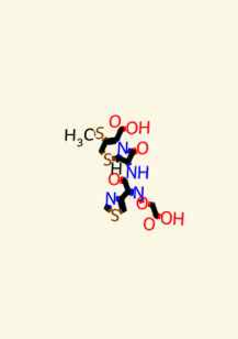 CSC1=C(C(=O)O)N2C(=O)C(NC(=O)C(=NOCC(=O)O)c3cscn3)[C@@H]2SC1